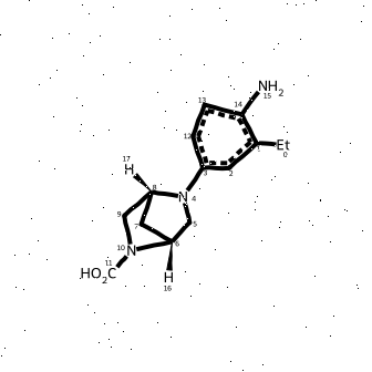 CCc1cc(N2C[C@H]3C[C@@H]2CN3C(=O)O)ccc1N